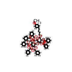 COc1ccc(CCCCO[C@@H]2O[C@H](COC(=O)c3ccccc3)[C@@H](O[C@@H]3O[C@H](COC(=O)c4ccccc4)[C@H](OC(=O)c4ccccc4)[C@H](OC(=O)c4ccccc4)[C@H]3OC(=O)c3ccccc3)[C@H](OC(=O)c3ccccc3)[C@H]2OC(=O)c2ccccc2)cc1